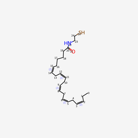 CC/C=C\C/C=C\C/C=C\C/C=C\C/C=C\CCCCC(=O)NCCS